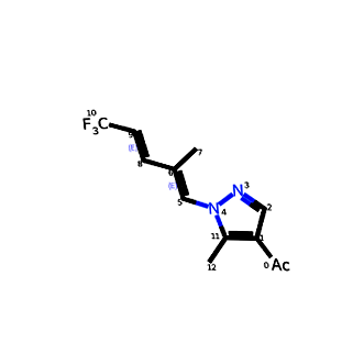 CC(=O)c1cnn(/C=C(C)/C=C/C(F)(F)F)c1C